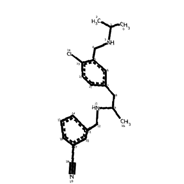 CC(C)NCc1cc(CC(C)NCc2cccc(C#N)c2)ccc1Cl